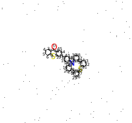 O=c1c2ccccc2sc2cc(-c3ccc(N4c5ccccc5-c5ccccc5Sc5ccccc5-c5ccccc54)cc3)ccc12